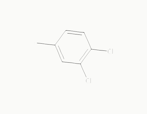 [CH]c1ccc(Cl)c(Cl)c1